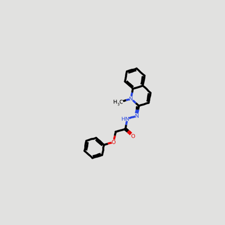 Cn1c(=NNC(=O)COc2ccccc2)ccc2ccccc21